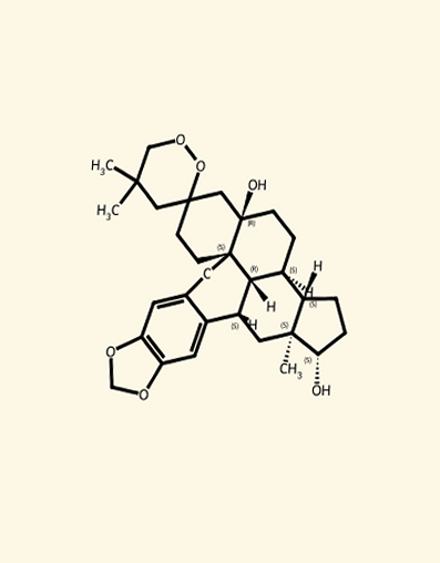 CC1(C)COOC2(CC[C@@]34Cc5cc6c(cc5[C@H]5C[C@]7(C)[C@@H](O)CC[C@H]7[C@H](CC[C@@]3(O)C2)[C@H]54)OCO6)C1